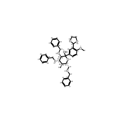 COc1ccc(C2(O)O[C@H](COCc3ccccc3)[C@@H](C)[C@H](OCc3ccccc3)[C@H]2OCc2ccccc2)cc1C1OCCO1